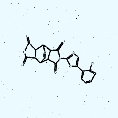 O=C1OC(=O)C2C3C=CC(C12)C1C(=O)N(c2ncc(-c4ccccc4Cl)o2)C(=O)C31